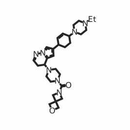 CCN1CCN(C2C=CC(c3cc4n(c3)N=CCC4N3CCN(C(=O)N4CC5(COC5)C4)CC3)CC2)CC1